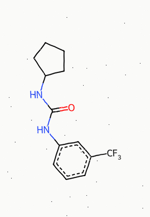 O=C(Nc1cccc(C(F)(F)F)c1)NC1CCCC1